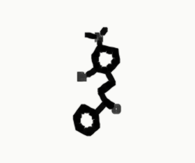 CN(C)c1ccc(C=CC(=O)c2ccccc2)c(Br)c1